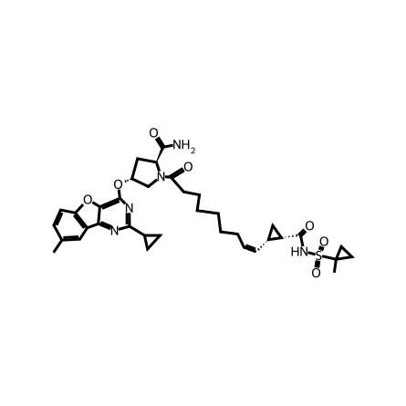 Cc1ccc2oc3c(O[C@@H]4C[C@@H](C(N)=O)N(C(=O)CCCCCC/C=C\[C@@H]5C[C@@H]5C(=O)NS(=O)(=O)C5(C)CC5)C4)nc(C4CC4)nc3c2c1